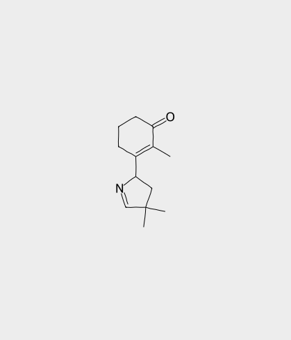 CC1=C(C2CC(C)(C)C=N2)CCCC1=O